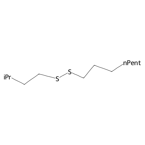 CCCCCCCCSSCCC(C)C